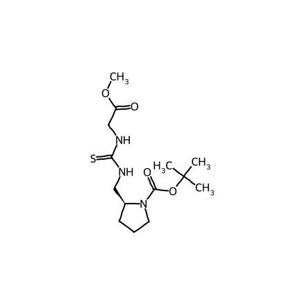 COC(=O)CNC(=S)NC[C@@H]1CCCN1C(=O)OC(C)(C)C